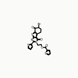 O=C(OCCn1c(-c2cccs2)nc2sc3c(c2c1=O)CCC(Br)C3=O)c1cccs1